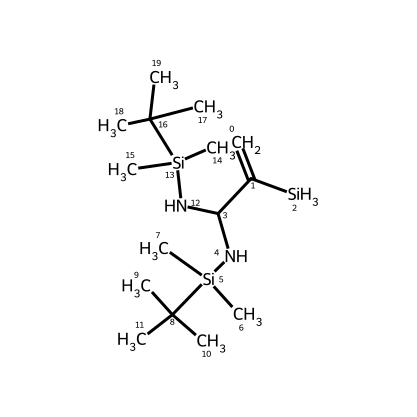 C=C([SiH3])C(N[Si](C)(C)C(C)(C)C)N[Si](C)(C)C(C)(C)C